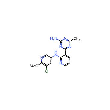 COc1ncc(Nc2ncccc2-c2nc(C)nc(N)n2)cc1Cl